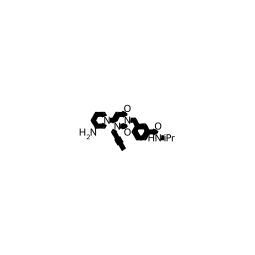 CC#CCn1c(N2CCC[C@@H](N)C2)cc(=O)n(Cc2cccc(C(=O)NC(C)C)c2)c1=O